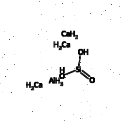 O=[Si](O)O.[AlH3].[CaH2].[CaH2].[CaH2]